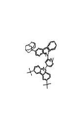 CC(C)(C)c1ccc2c(c1)c1cc(C(C)(C)C)ccc1n2-c1ccnc(-n2c3ccccc3c3cc(C45CC6CC(CC(C6)C4)C5)ccc32)c1